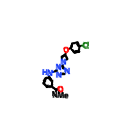 CNC(=O)c1cccc(Nc2ncnc(N3CC(Oc4ccc(Cl)cc4)C3)n2)c1